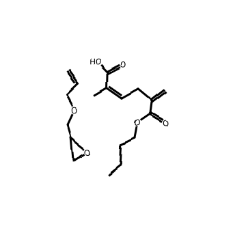 C=C(CC=C(C)C(=O)O)C(=O)OCCCC.C=CCOCC1CO1